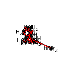 CCCC[C@H](NC(=O)[C@H](CCCNC(=O)CN(CC(=O)O)CC(=O)O)NC(=O)[C@H](CO)NC(=O)[C@H](CCC(N)=O)NC(=O)[C@H](CO)NC(=O)CNC(=O)COCCOCCNC(=O)CCCCCCCCCCCCCCC/C(=N/N)NN)C(=O)N[C@H]1CCC(=O)NCCCC[C@@H](C(N)=O)NC(=O)[C@H](Cc2c[nH]c3ccccc23)NC(=O)[C@H](CCCNC(=N)N)NC(=O)[C@@H](Cc2ccccc2)NC(=O)[C@@H]2C[C@@H](O)CN2C1=O